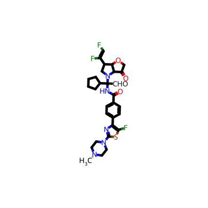 CN1CCN(c2nc(-c3ccc(C(=O)NC(C=O)(C4CCCC4)N4CC(C(F)=CF)C5OCC(=O)C54)cc3)c(F)s2)CC1